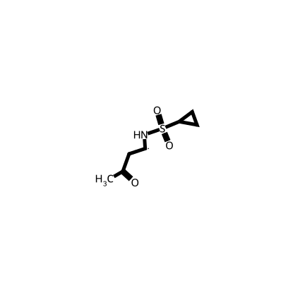 CC(=O)C[CH]NS(=O)(=O)C1CC1